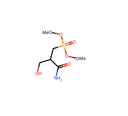 COOP(=O)(CC(CO)C(N)=O)OOC